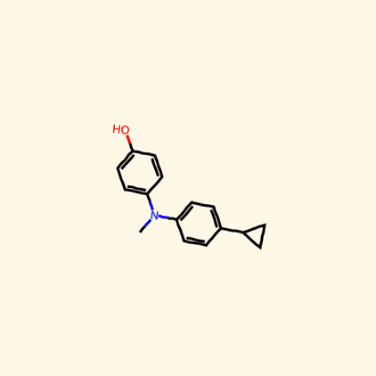 CN(c1ccc(O)cc1)c1ccc(C2CC2)cc1